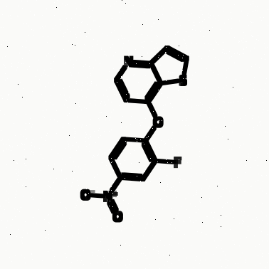 O=[N+]([O-])c1ccc(Oc2ccnc3ccsc23)c(F)c1